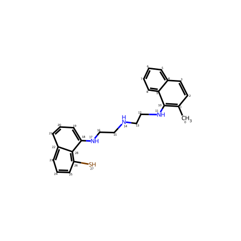 Cc1ccc2ccccc2c1NCCNCCNc1cccc2cccc(S)c12